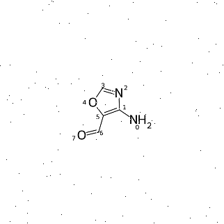 Nc1ncoc1C=O